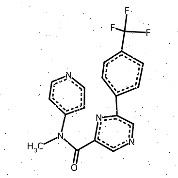 CN(C(=O)c1cncc(-c2ccc(C(F)(F)F)cc2)n1)c1ccncc1